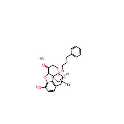 CCN1CC[C@]23c4c5ccc(O)c4OC2C(=O)CC[C@@]3(OCCCc2ccccc2)[C@H]1C5.Cl